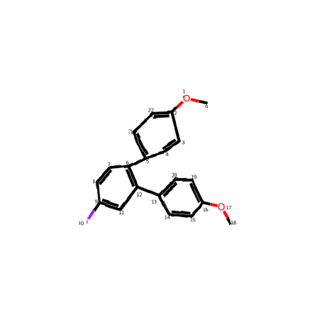 COc1ccc(-c2ccc(I)cc2-c2ccc(OC)cc2)cc1